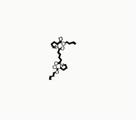 C=CCCOC(=O)C1CCCN1C(=O)CCCCC(=O)N1CCC[C@@H]1C(=O)OCCC=C